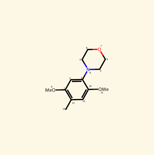 COc1cc(N2CCOCC2)c(OC)cc1C